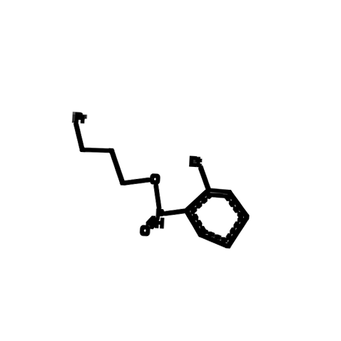 CCc1ccccc1[PH](=O)OCCCC(C)C